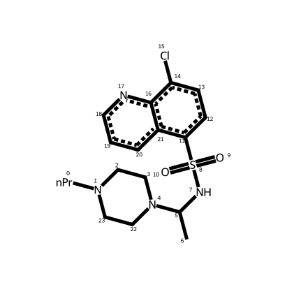 CCCN1CCN(C(C)NS(=O)(=O)c2ccc(Cl)c3ncccc23)CC1